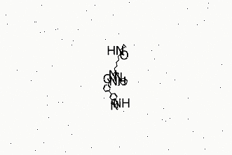 O=C(CCCCCc1cn(-c2ccccc2)c(NC(=O)c2cccc(-c3ccc4[nH]ncc4c3)c2)n1)NC1CC1